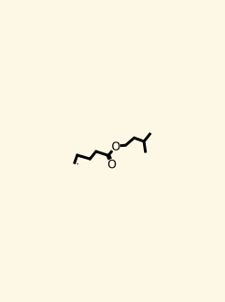 [CH2]CCCC(=O)OCCC(C)C